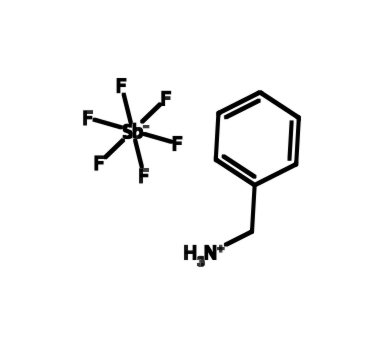 [F][Sb-]([F])([F])([F])([F])[F].[NH3+]Cc1ccccc1